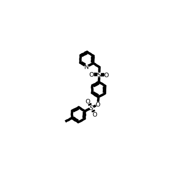 Cc1ccc(S(=O)(=O)Oc2ccc(S(=O)(=O)Cc3ccccn3)cc2)cc1